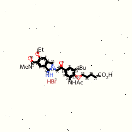 Br.CCOc1cc2c(cc1C(=O)NC)C(=N)N(CC(=O)c1cc(NC(C)=O)c(OCCCCC(=O)O)c(C(C)(C)C)c1)C2